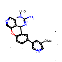 COc1cncc(-c2ccc3c(c2)C(/N=C(/N)N(C)C=O)c2ccncc2O3)c1